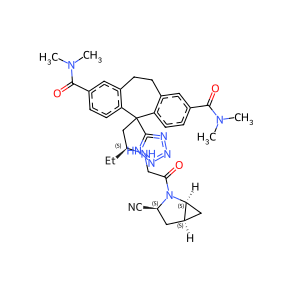 CC[C@@H](CC1(c2nnn[nH]2)c2ccc(C(=O)N(C)C)cc2CCc2cc(C(=O)N(C)C)ccc21)NCC(=O)N1[C@H](C#N)C[C@@H]2C[C@@H]21